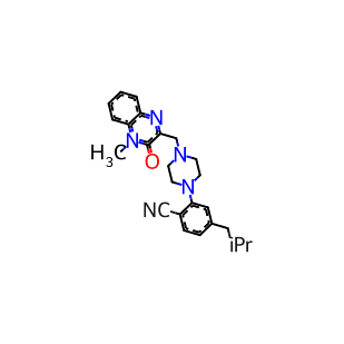 CC(C)Cc1ccc(C#N)c(N2CCN(Cc3nc4ccccc4n(C)c3=O)CC2)c1